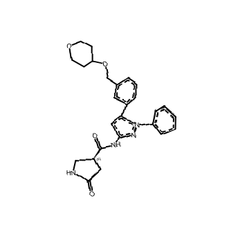 O=C1C[C@H](C(=O)Nc2cc(-c3cccc(COC4CCOCC4)c3)n(-c3ccccc3)n2)CN1